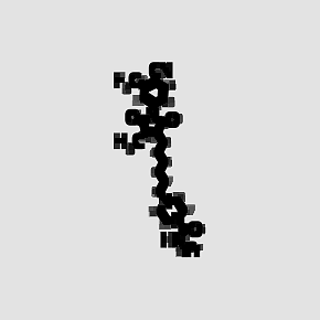 CC1=C(CCCCCCN2CCN(C(=O)NC(C)C)CC2)C(=O)N(c2ccc(C#N)c(C(F)(F)F)c2)C1=O